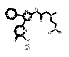 CCN(CC)CCN(C)CC(=O)Nc1nc(-c2ccccc2)c(-c2ccc(=O)n(C(C)C)n2)s1.Cl.Cl